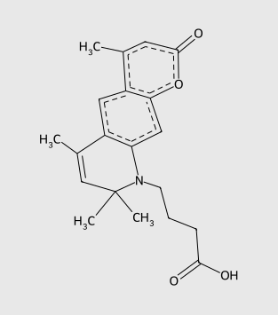 CC1=CC(C)(C)N(CCCC(=O)O)c2cc3oc(=O)cc(C)c3cc21